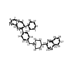 c1ccc(-c2cn3ccnc3nc2-c2ccc(CN3CCC(c4cnc5ccccc5n4)CC3)cc2)cc1